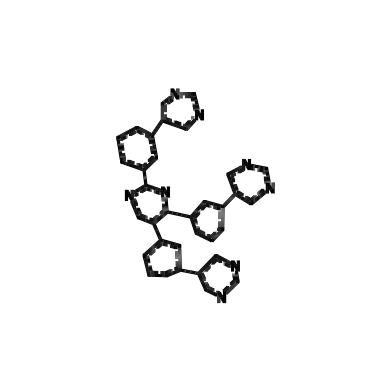 c1cc(-c2cncnc2)cc(-c2ncc(-c3cccc(-c4cncnc4)c3)c(-c3cccc(-c4cncnc4)c3)n2)c1